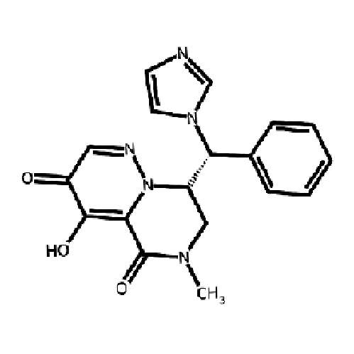 CN1CC([C@@H](c2ccccc2)n2ccnc2)n2ncc(=O)c(O)c2C1=O